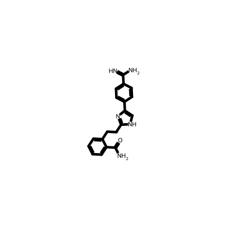 N=C(N)c1ccc(-c2c[nH]c([CH]Cc3ccccc3C(N)=O)n2)cc1